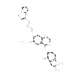 COc1cc2c(Oc3ccc4[nH]c(C)cc4c3F)ncnc2cc1OCCCC1=CCn2cccc21